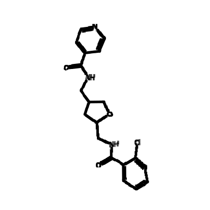 O=C(NCC1COC(CNC(=O)c2ccccc2Cl)C1)c1ccncc1